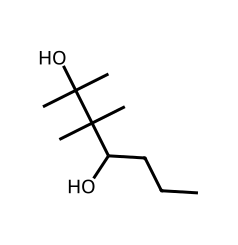 CCCC(O)C(C)(C)C(C)(C)O